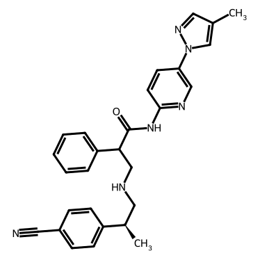 Cc1cnn(-c2ccc(NC(=O)C(CNC[C@@H](C)c3ccc(C#N)cc3)c3ccccc3)nc2)c1